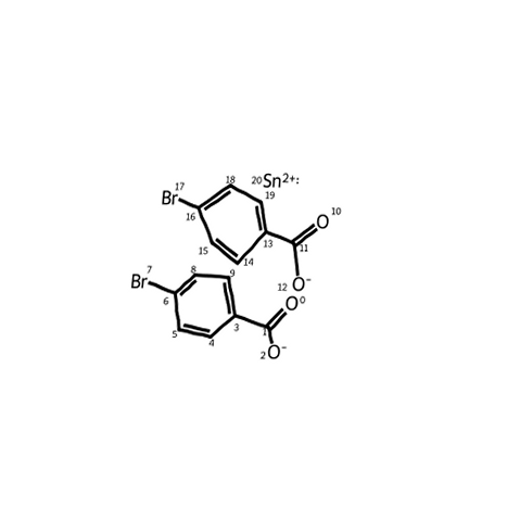 O=C([O-])c1ccc(Br)cc1.O=C([O-])c1ccc(Br)cc1.[Sn+2]